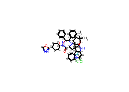 CC1(C)CCC2(CC1)N([C@H](c1ccccc1)[C@@H](O)c1ccccc1)[C@@H](C(=O)N[C@H]1CC[C@H](c3nnco3)CC1)[C@H](c1cccc(Cl)c1F)C21C(=O)Nc2cc(Cl)ncc21